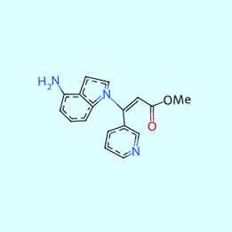 COC(=O)/C=C(\c1cccnc1)n1ccc2c(N)cccc21